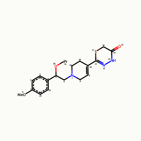 COc1ccc(C(CN2CC=C(C3=NNC(=O)CS3)CC2)OC(C)C)cc1